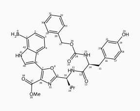 Bc1cccc2c(-c3oc([C@@H](NC(=O)[C@H](Cc4ccc(O)cc4)NC(=O)OCc4ccccc4)C(C)C)nc3C(=O)OC)c[nH]c12